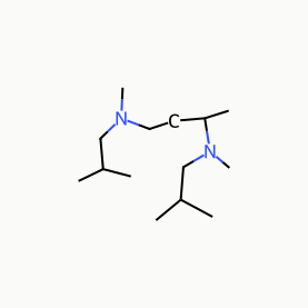 CC(C)CN(C)CCC(C)N(C)CC(C)C